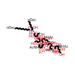 CCCCCCCCCCCCC/C=C/[C@@H](O)[C@H](CO[C@@H]1OC(CO)[C@@H](O[C@@H]2OC(CO)[C@H](O[C@@H]3OC(CO)[C@H](O)[C@H](O)C3NC(C)=O)[C@H](O[C@]3(C(=O)O)CC(O)[C@@H](NC(C)=O)C([C@H](O)[C@@H](CO)O[C@]4(C(=O)O)CC(O)[C@@H](NC(C)=O)C([C@H](O)[C@@H](CO)O[C@]5(C(=O)O)CC(O)[C@@H](NC(C)=O)C([C@H](O)[C@H](O)CO)O5)O4)O3)C2O)[C@H](O)C1O)NC(=O)CCCCCCCCCCCCCCCCCCC